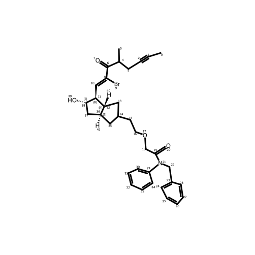 CC#CCC(C)C(=O)C(Br)=C[C@H]1[C@@H]2CC(CCOCC(=O)N(Cc3ccccc3)c3ccccc3)C[C@H]2C[C@@H]1O